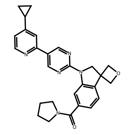 O=C(c1ccc2c(c1)N(c1ncc(-c3cc(C4CC4)ccn3)cn1)CC21COC1)N1CCCC1